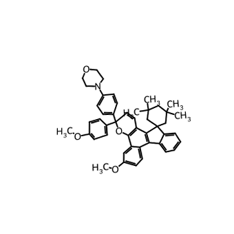 COc1ccc(C2(c3ccc(N4CCOCC4)cc3)C=Cc3c4c(c5ccc(OC)cc5c3O2)-c2ccccc2C42CC(C)(C)CC(C)(C)C2)cc1